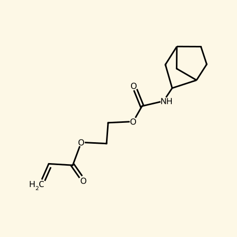 C=CC(=O)OCCOC(=O)NC1CC2CCC1C2